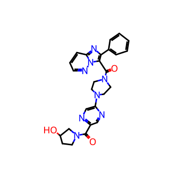 O=C(c1cnc(N2CCN(C(=O)c3c(-c4ccccc4)nc4cccnn34)CC2)cn1)N1CCC(O)C1